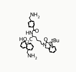 CC(C)(C)OC(=O)N(CCCC[C@H](NC(=O)c1ccc(CN)cc1)C(=O)O)Cc1ccccn1.NCc1cccc2ccccc12